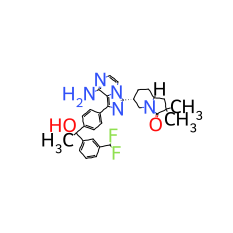 CC1(C)C[C@@H]2CC[C@@H](c3nc(-c4ccc(C(C)(O)c5cccc(C(F)F)c5)cc4)c4c(N)nccn34)CN2C1=O